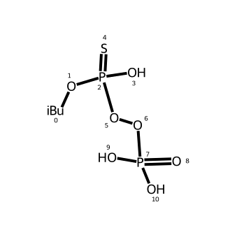 CCC(C)OP(O)(=S)OOP(=O)(O)O